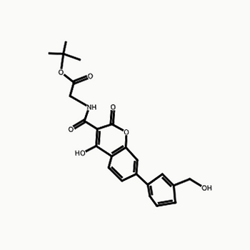 CC(C)(C)OC(=O)CNC(=O)c1c(O)c2ccc(-c3cccc(CO)c3)cc2oc1=O